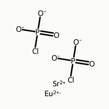 O=P([O-])([O-])Cl.O=P([O-])([O-])Cl.[Eu+2].[Sr+2]